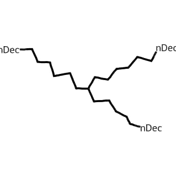 CCCCCCCCCCCCCCCCC(CCCCCCCCCCCCCCC)CCCCCCCCCCCCCCCC